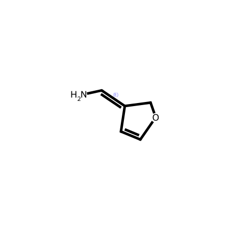 N/C=C1\C=COC1